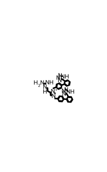 N=C(N)NCCc1cn(Cc2ccc(-c3ccccc3-c3nnn[nH]3)cc2)c[n+]1Cc1ccc(-c2ccccc2-c2nnn[nH]2)cc1